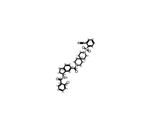 N#Cc1ccccc1S(=O)(=O)N1CCC2(CCN(C(=O)c3ccc4c(c3)C(NC(=O)c3ccccc3Cl)CC4)CC2)CC1